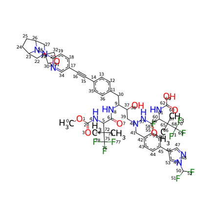 COC(=O)NC(C(=O)NC(Cc1ccc(C#Cc2ccc(N3CC4CCC(C3)N4C3COC3)nc2)cc1)C(O)CN(Cc1ccc(-c2cnn(C(F)F)c2)cc1F)NC(=O)C(NC(=O)O)C(C)(C)C(F)(F)F)C(C)(C)C(F)(F)F